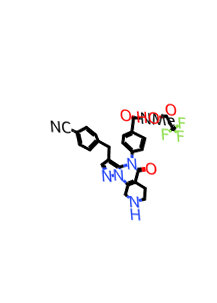 CNC(=O)c1ccc(-n2c(=O)c3c(n4ncc(Cc5ccc(C#N)cc5)c24)CNCC3)cc1.O=C(O)C(F)(F)F